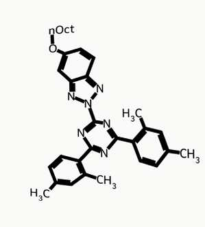 CCCCCCCCOc1ccc2nn(-c3nc(-c4ccc(C)cc4C)nc(-c4ccc(C)cc4C)n3)nc2c1